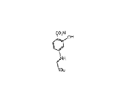 CC(C)(C)CNc1ccc(C(=O)O)c(O)c1